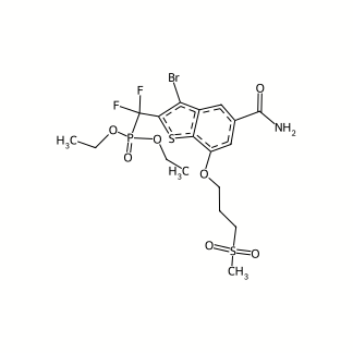 CCOP(=O)(OCC)C(F)(F)c1sc2c(OCCCS(C)(=O)=O)cc(C(N)=O)cc2c1Br